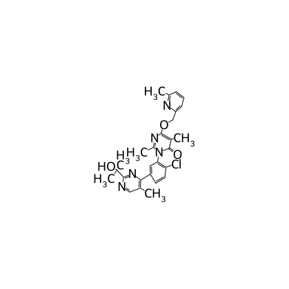 Cc1cccc(COc2nc(C)n(-c3cc(-c4nc(C(C)(C)O)ncc4C)ccc3Cl)c(=O)c2C)n1